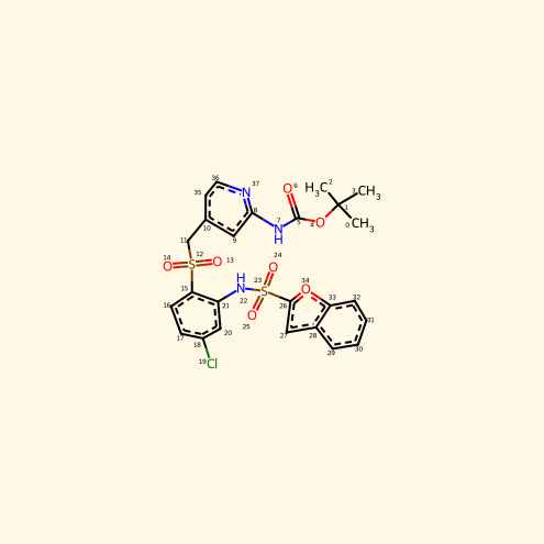 CC(C)(C)OC(=O)Nc1cc(CS(=O)(=O)c2ccc(Cl)cc2NS(=O)(=O)c2cc3ccccc3o2)ccn1